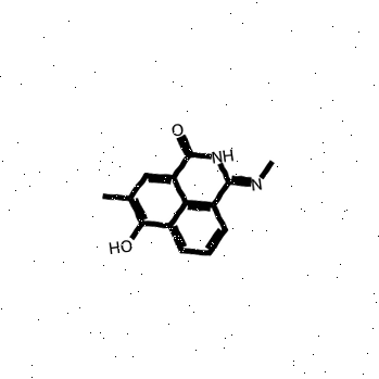 C/N=C1\NC(=O)c2cc(C)c(O)c3cccc1c23